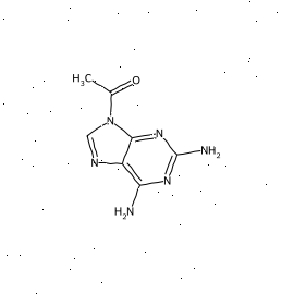 CC(=O)n1cnc2c(N)nc(N)nc21